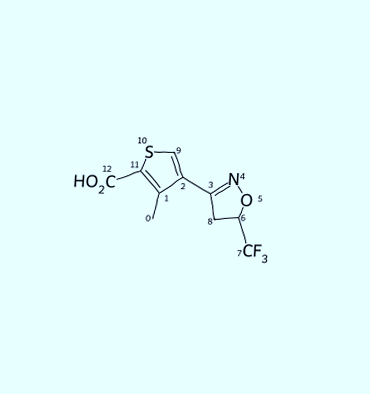 Cc1c(C2=NOC(C(F)(F)F)C2)csc1C(=O)O